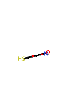 O=C=NCCCCCCCCCCCCCCCCCCCCCCS